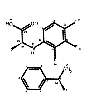 C[C@H](N)c1ccccc1.C[C@H](Nc1ccc(F)c(F)c1F)C(=O)O